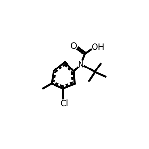 Cc1ccc(N(C(=O)O)C(C)(C)C)cc1Cl